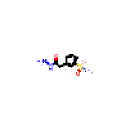 NNC(=O)Cc1cccc(S(N)(=O)=O)c1